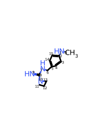 CNc1ccc(CNC(=N)N2CCC2)cc1